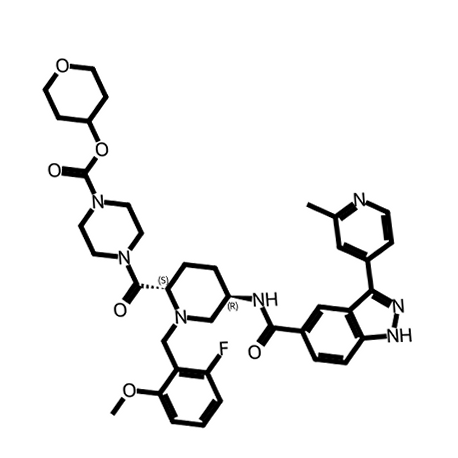 COc1cccc(F)c1CN1C[C@H](NC(=O)c2ccc3[nH]nc(-c4ccnc(C)c4)c3c2)CC[C@H]1C(=O)N1CCN(C(=O)OC2CCOCC2)CC1